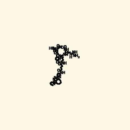 N=C(N)NCCC[C@H]1NC(=O)CNC(=O)[C@@H](CC(=O)O)NC(=O)[C@H](Cc2ccc(O)cc2)NC(=O)[C@@H](CCCCNC(=O)CCCC(=O)Nc2ccc(C3=NN=C(c4ccccn4)[C@@H]4CCCCCC[C@@H]34)nc2)NC1=O